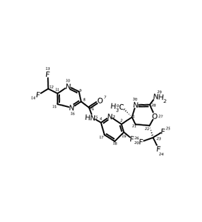 C[C@@]1(c2nc(NC(=O)c3cnc(C(F)F)cn3)ccc2F)C[C@@H](C(F)(F)F)OC(N)=N1